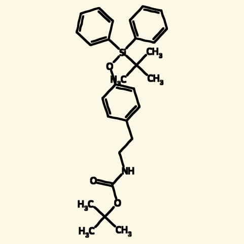 CC(C)(C)OC(=O)NCCc1ccc(O[Si](c2ccccc2)(c2ccccc2)C(C)(C)C)cc1